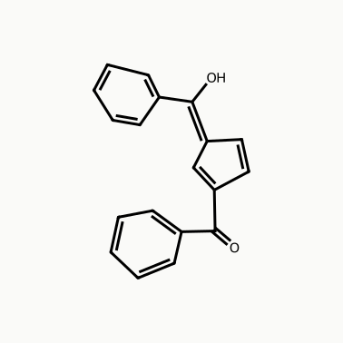 O=C(C1=CC(=C(O)c2ccccc2)C=C1)c1ccccc1